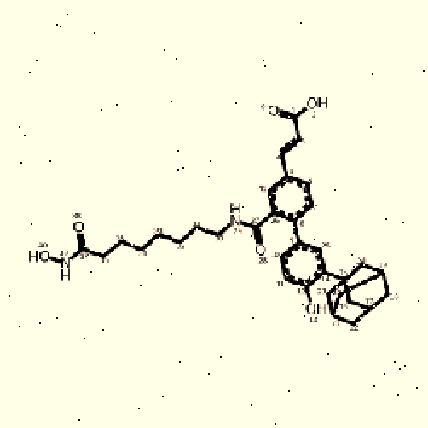 O=C(O)C=Cc1ccc(-c2ccc(O)c(C34CC5CC(CC(C5)C3)C4)c2)c(C(=O)NCCCCCCCC(=O)NO)c1